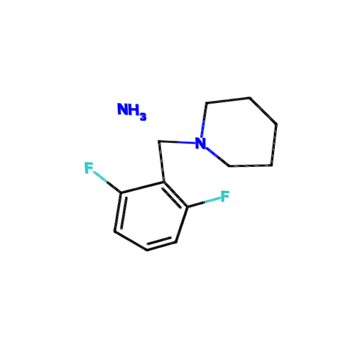 Fc1cccc(F)c1CN1CCCCC1.N